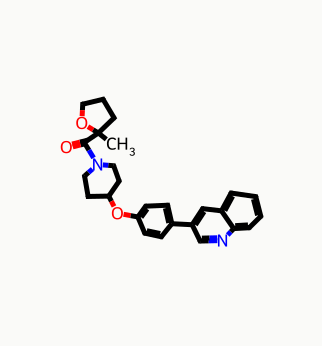 CC1(C(=O)N2CCC(Oc3ccc(-c4cnc5ccccc5c4)cc3)CC2)CCCO1